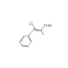 C/C(C=O)=C(/Cl)c1ccccc1